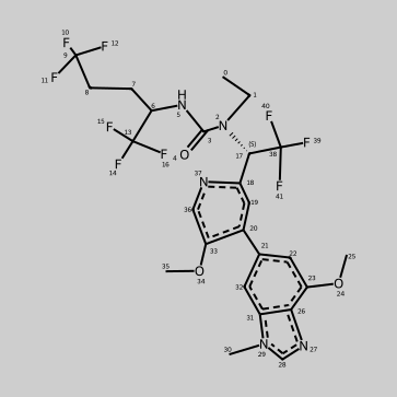 CCN(C(=O)NC(CCC(F)(F)F)C(F)(F)F)[C@@H](c1cc(-c2cc(OC)c3ncn(C)c3c2)c(OC)cn1)C(F)(F)F